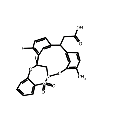 Cc1ccc2cc1CN1C[C@H](Oc3ccccc3S1(=O)=O)c1cc(ccc1F)C2CC(=O)O